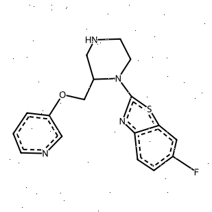 Fc1ccc2nc(N3CCNCC3COc3cccnc3)sc2c1